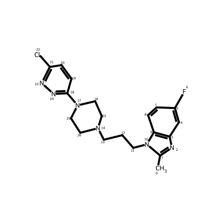 Cc1nc2cc(F)ccc2n1CCCN1CCN(c2ccc(Cl)nn2)CC1